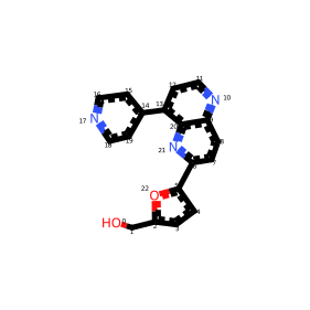 OCc1ccc(-c2ccc3nccc(-c4ccncc4)c3n2)o1